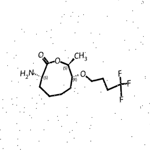 C[C@@H]1OC(=O)[C@@H](N)CCCC[C@H]1OCCCC(F)(F)F